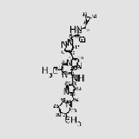 Cc1cn2c(-c3cnn(CC(=O)NCC4CC4)c3)cnc2c(Nc2cc(CN3CCCC(C)C3)ns2)n1